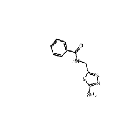 Nc1nnc(CNC(=O)c2ccccc2)s1